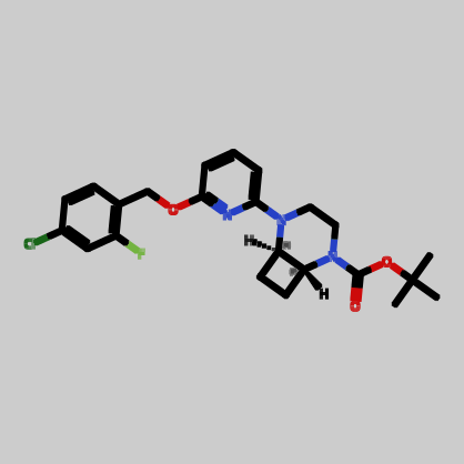 CC(C)(C)OC(=O)N1CCN(c2cccc(OCc3ccc(Cl)cc3F)n2)[C@@H]2CC[C@H]21